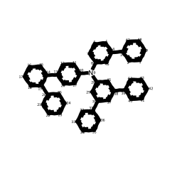 c1ccc(-c2cccc(N(c3ccc(-c4ccccc4-c4ccccc4)cc3)c3cc(-c4ccccc4)cc(-c4ccccc4)c3)c2)cc1